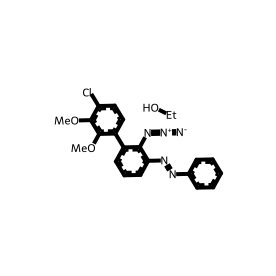 CCO.COc1c(Cl)ccc(-c2cccc(N=Nc3ccccc3)c2N=[N+]=[N-])c1OC